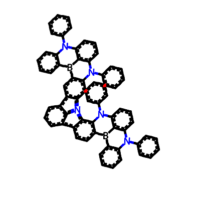 c1ccc(N2c3ccccc3B3c4cc5c6cccc7c8ccc9c(c8n(c5cc4N(c4ccccc4)c4cccc2c43)c67)N(c2ccccc2)c2cccc3c2B9c2ccccc2N3c2ccccc2)cc1